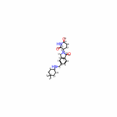 CC1(C)CCC(NCc2ccc3c(c2)CN(C2CCC(=O)NC2=O)C3=O)CC1